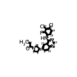 C=CC(=O)N1CC[C@@H](c2ccc3ncnc(Nc4ccc(Cl)c(Cl)c4F)c3c2)C1